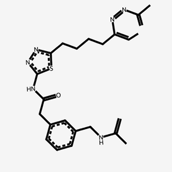 C=C(C)/N=N\C(=C/C)CCCCc1nnc(NC(=O)Cc2cccc(CNC(=C)C)c2)s1